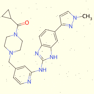 Cn1ccc(-c2ccc3nc(Nc4cc(CN5CCN(C(=O)C6CC6)CC5)ccn4)[nH]c3c2)n1